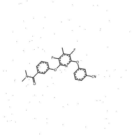 Cc1c(F)c(Oc2cccc(C#N)c2)nc(Oc2cccc(C(=O)N(C)C)c2)c1F